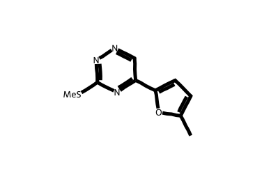 CSc1nncc(-c2ccc(C)o2)n1